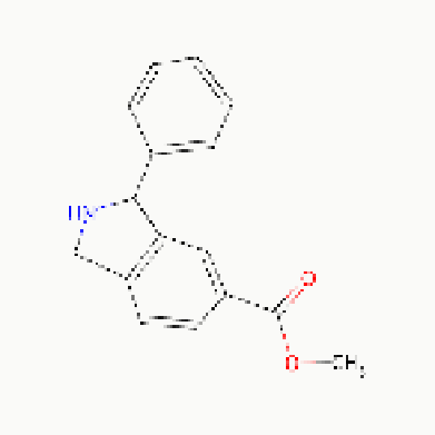 COC(=O)c1ccc2c(c1)C(c1ccccc1)NC2